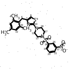 Cc1cc(C)c(Cc2csc(N3CCN(S(=O)(=O)c4cccc([N+](=O)[O-])c4)CC3)n2)c(C)c1